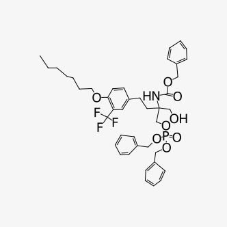 CCCCCCCOc1ccc(CCC(CO)(COP(=O)(OCc2ccccc2)OCc2ccccc2)NC(=O)OCc2ccccc2)cc1C(F)(F)F